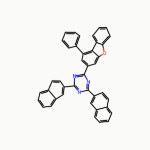 c1ccc(-c2cc(-c3nc(-c4ccc5ccccc5c4)nc(-c4ccc5ccccc5c4)n3)cc3oc4ccccc4c23)cc1